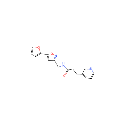 O=C(CCc1cccnc1)NCc1cc(-c2ccco2)on1